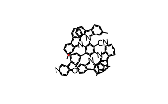 Cc1ccc2c3ccccc3n(-c3c(C#N)c(-n4c5ccccc5c5ccc(C)cc54)c(-n4c5ccccc5c5ccc(C)cc54)c(-c4ccc5c(c4)oc4ccncc45)c3-n3c4ccccc4c4ccc(C)cc43)c2c1